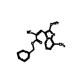 CCCOc1nc2c(C)cccn2c1/C=C(/C#N)C(=O)OCc1ccccc1